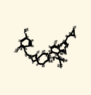 Fc1ccc(CN2CC3(CCCN(c4ccn5c(CC6CC6)nnc5c4C(F)(F)F)C3)C2)c(F)c1